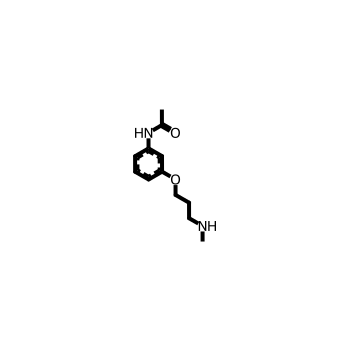 CNCCCOc1cccc(NC(C)=O)c1